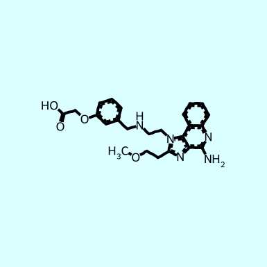 COCCc1nc2c(N)nc3ccccc3c2n1CCNCc1cccc(OCC(=O)O)c1